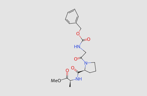 COC(=O)[C@H](C)NC(=O)[C@@H]1CCCN1C(=O)CNC(=O)OCc1ccccc1